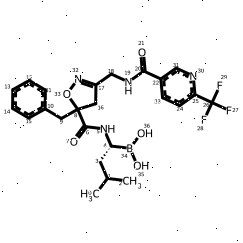 CC(C)C[C@H](NC(=O)C1(Cc2ccccc2)CC(CNC(=O)c2ccc(C(F)(F)F)nc2)=NO1)B(O)O